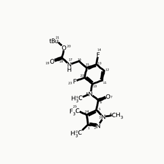 Cc1nn(C)c(C(=O)N(C)c2ccc(F)c(CNC(=O)OC(C)(C)C)c2F)c1C(F)(F)F